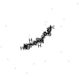 CC(=O)N1CCN(C(=O)c2cccc(CSc3cnc(NC(=O)c4ccc(CN[C@H](CO)Cc5c[nH]cn5)cc4)s3)c2)CC1